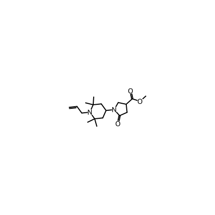 C=CCN1C(C)(C)CC(N2CC(C(=O)OC)CC2=O)CC1(C)C